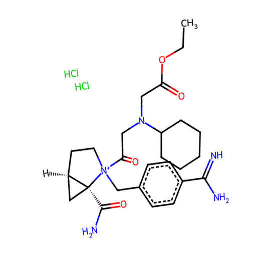 CCOC(=O)CN(CC(=O)[N+]1(Cc2ccc(C(=N)N)cc2)CC[C@@H]2C[C@@]21C(N)=O)C1CCCCC1.Cl.Cl